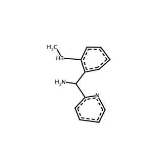 CBc1ccccc1C(N)c1ccccn1